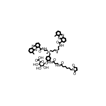 Cc1cccc2nc3cccc(C(=O)NCCN(C)CCC[N+](C)(CCNC(=O)c4cccc5nc6cccc(C)c6nc45)Cc4ccc(O[C@@H]5O[C@H](C(=O)O)[C@@H](O)[C@H](O)[C@H]5O)c(NC(=O)CCNC(=O)CCCCCN5C(=O)C=CC5=O)c4)c3nc12